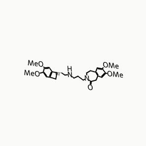 COc1cc2c(cc1OC)CC(=O)N(CCCNCC[C@@H]1Cc3cc(OC)c(OC)cc31)CC2